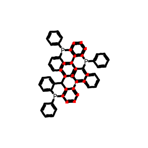 c1ccc(P(c2ccccc2)c2ccccc2C(COCC(c2ccccc2P(c2ccccc2)c2ccccc2)c2ccccc2P(c2ccccc2)c2ccccc2)c2ccccc2P(c2ccccc2)c2ccccc2)cc1